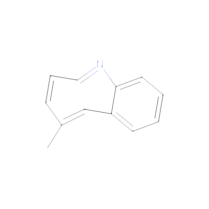 CC1=C\c2ccccc2/N=C/C=C\1